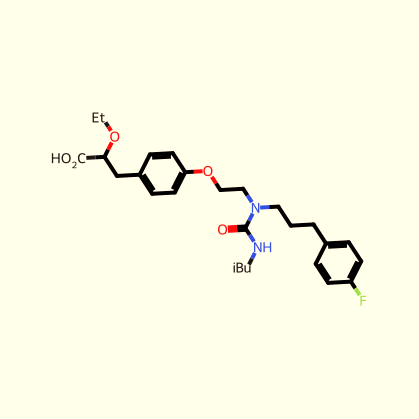 CCOC(Cc1ccc(OCCN(CCCc2ccc(F)cc2)C(=O)NC(C)CC)cc1)C(=O)O